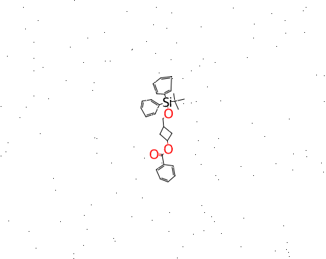 CC(C)(C)[Si](OCC1CC(OC(=O)c2ccccc2)C1)(c1ccccc1)c1ccccc1